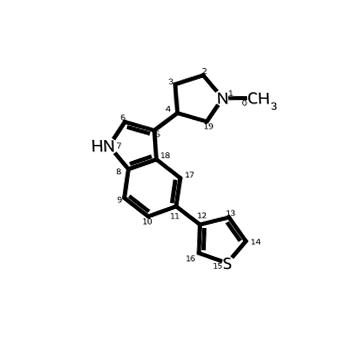 CN1CCC(c2c[nH]c3ccc(-c4ccsc4)cc23)C1